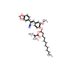 C=C(C)C(=O)OC(CCCCCCCCCC)Oc1ccc(/C=C(\C#N)c2ccc3c(c2)OCO3)cc1OC